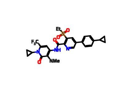 CCS(=O)(=O)c1cc(-c2ccc(C3CC3)cc2)cnc1C(=O)Nc1cc(C(F)(F)F)n(C2CC2)c(=O)c1NC